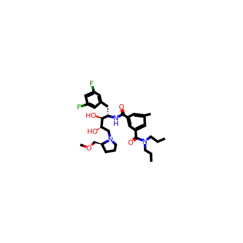 CCCN(CCC)C(=O)c1cc(C)cc(C(=O)N[C@@H](Cc2cc(F)cc(F)c2)[C@H](O)[C@@H](O)CN2CCC[C@H]2COC)c1